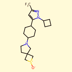 [O-][S+]1CC2(CCN(C3CCC(c4cc(C(F)(F)F)nn4C4CCC4)CC3)C2)C1